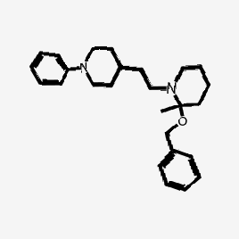 CC1(OCc2ccccc2)CCCCN1CCC1CCN(c2ccccc2)CC1